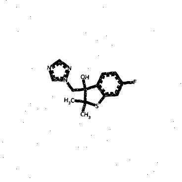 CC1(C)Sc2cc(F)ccc2C1(O)Cn1cncn1